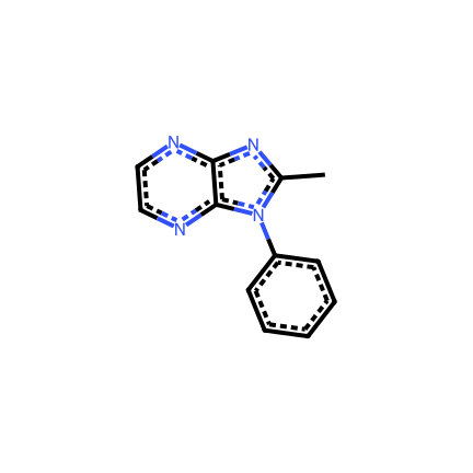 Cc1nc2nccnc2n1-c1ccccc1